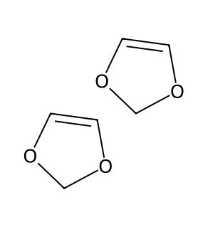 C1=COCO1.C1=COCO1